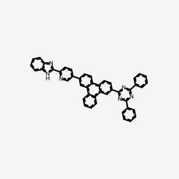 c1ccc(-c2nc(-c3ccccc3)nc(-c3ccc4c5ccc(-c6ccc(-c7nc8ccccc8[nH]7)nc6)cc5c5ccccc5c4c3)n2)cc1